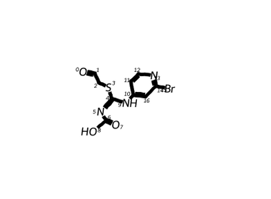 O=CCS/C(=N/C(=O)O)Nc1ccnc(Br)c1